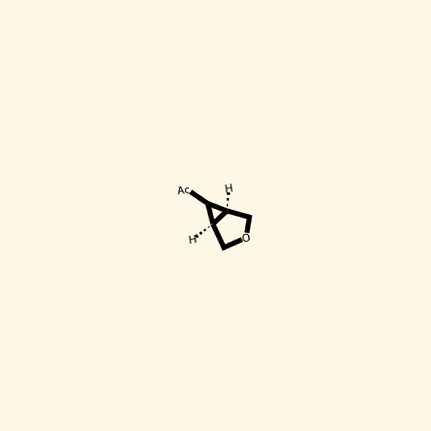 CC(=O)C1[C@H]2COC[C@@H]12